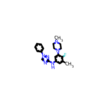 Cc1cc(Nc2ncn(-c3ccccc3)n2)cc(N2CCN(C)CC2)c1F